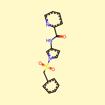 O=C(Nc1ccn(S(=O)(=O)Cc2ccccc2)c1)c1ccccn1